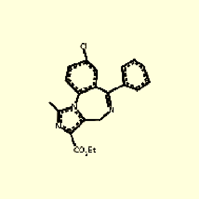 CCOC(=O)c1nc(C)n2c1CN=C(c1ccccc1)c1cc(Cl)ccc1-2